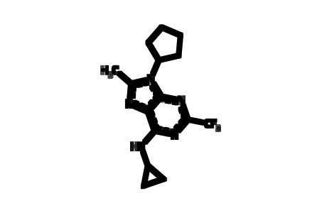 Cc1nc2c(NC3CC3)nc(C(F)(F)F)nc2n1C1CCCC1